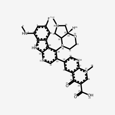 CNc1cc(F)cc2c1[nH]c1ncc(-c3cnc4c(c3)c(=O)c(C(=O)O)cn4C)c(N3CCO[C@H]4CN(C)CC43)c12